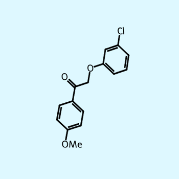 COc1ccc(C(=O)COc2cccc(Cl)c2)cc1